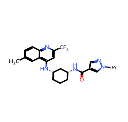 Cc1ccc2nc(C(F)(F)F)cc(N[C@H]3CCC[C@@H](NC(=O)c4cnn(C(C)C)c4)C3)c2c1